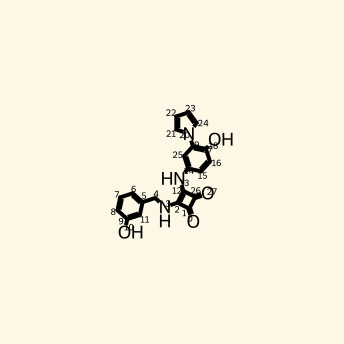 O=c1c(NCc2cccc(O)c2)c(Nc2ccc(O)c(-n3cccc3)c2)c1=O